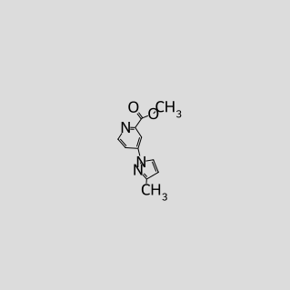 COC(=O)c1cc(-n2ccc(C)n2)ccn1